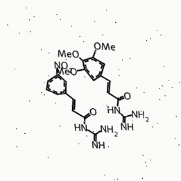 COc1cc(C=CC(=O)NC(=N)N)cc(OC)c1OC.N=C(N)NC(=O)C=Cc1cccc([N+](=O)[O-])c1